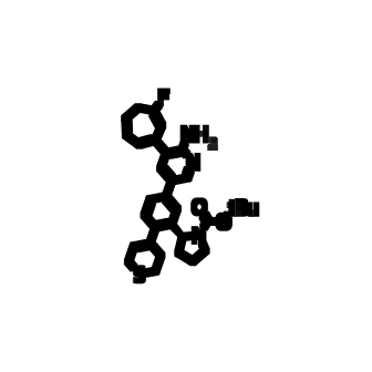 CC(C)(C)OC(=O)N1CCC[C@H]1c1cc(-c2cnc(N)c(C3=CC=CCC(F)=C3)c2)ccc1C1=CCSCC1